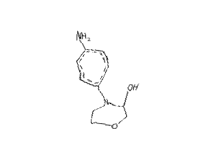 Nc1ccc(N2CCOCC2O)cc1